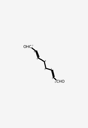 O=CC=CCCC=CC=O